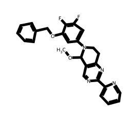 COC1c2cnc(-c3ccccn3)nc2CCN1c1cc(F)c(F)c(OCc2ccccc2)c1